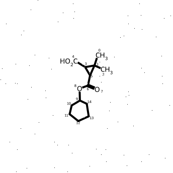 CC1(C)C(C(=O)O)C1C(=O)OC1CCCCC1